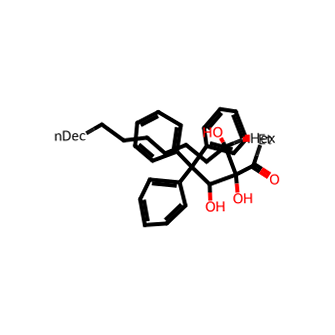 CCCCCCCCCCCCCCCCC(O)(CCCCCC)C(O)(C(=O)CC)C(O)C(c1ccccc1)(c1ccccc1)c1ccccc1